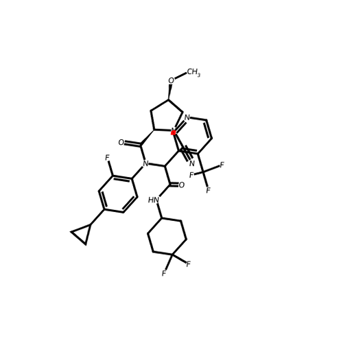 CO[C@@H]1C[C@H](C(=O)N(c2ccc(C3CC3)cc2F)C(C(=O)NC2CCC(F)(F)CC2)c2cnccc2C(F)(F)F)N(C#N)C1